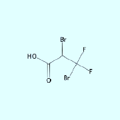 O=C(O)C(Br)C(F)(F)Br